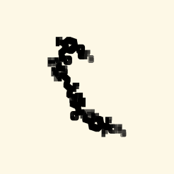 CC(F)(F)c1ccc(CNC(=O)c2cn(CC(F)CCc3nnc(NC(=O)Cc4cc(OC(F)(F)F)ccc4F)s3)nn2)nc1